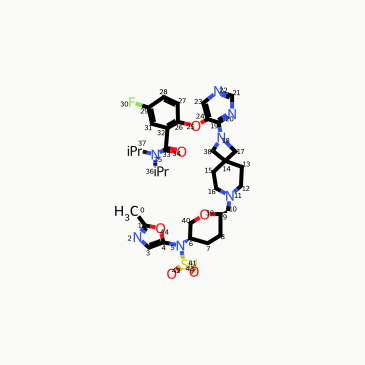 Cc1ncc(N([C@@H]2CC[C@@H](CN3CCC4(CC3)CN(c3ncncc3Oc3ccc(F)cc3C(=O)N(C(C)C)C(C)C)C4)OC2)[SH](=O)=O)o1